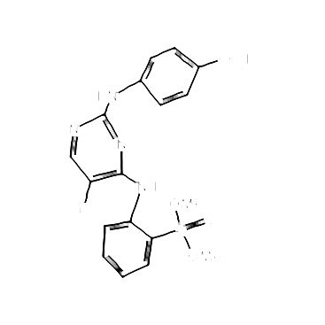 COP(=O)(OC)c1ccccc1Nc1nc(Nc2ccc(C(=O)O)cc2)ncc1C(F)(F)F